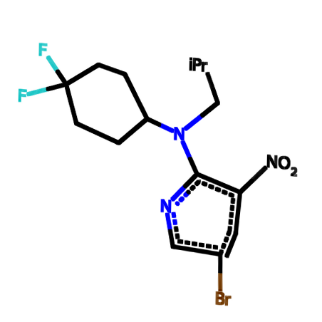 CC(C)CN(c1ncc(Br)cc1[N+](=O)[O-])C1CCC(F)(F)CC1